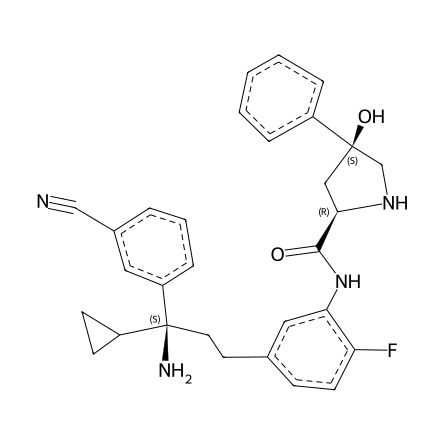 N#Cc1cccc([C@](N)(CCc2ccc(F)c(NC(=O)[C@H]3C[C@](O)(c4ccccc4)CN3)c2)C2CC2)c1